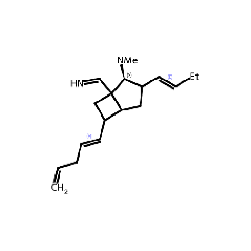 C=CC/C=C/C1CC2(C=N)C1CC(/C=C/CC)[C@@H]2NC